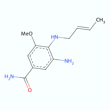 CC=CCNc1c(N)cc(C(N)=O)cc1OC